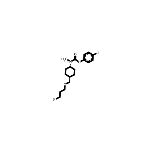 CN(C(=O)Oc1ccc(Cl)cc1)[C@H]1CC[C@H](COCCCBr)CC1